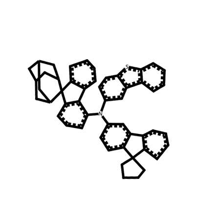 c1ccc2c(c1)-c1cc(N(c3ccc4sc5ccccc5c4c3)c3cccc4c3-c3ccccc3C43C4CC5CC(C4)CC3C5)ccc1C21CCCC1